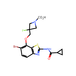 O=C(Nc1nc2ccc(Br)c(OCC3(F)CN(C(=O)O)C3)c2s1)C1CC1